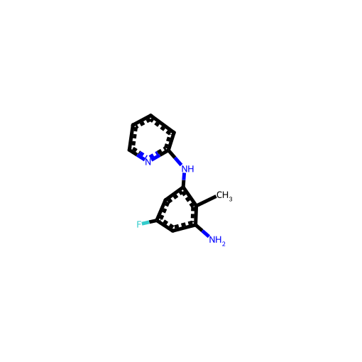 Cc1c(N)cc(F)cc1Nc1ccccn1